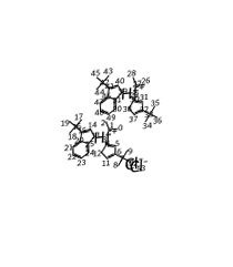 C[CH](C)[Hf+]([C]1=CC(C(C)(C)C)=CC1)[CH]1C=C(C(C)(C)C)c2ccccc21.C[CH](C)[Hf+]([C]1=CC(C(C)(C)C)=CC1)[CH]1C=C(C(C)(C)C)c2ccccc21.[Cl-].[Cl-]